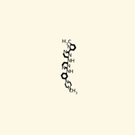 Cc1cccc(-c2nccc(Nc3ccnc(Nc4cccc(N5CCN(C)CC5)c4)n3)n2)n1